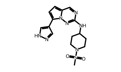 CS(=O)(=O)N1CCC(Nc2ncc3ccc(-c4cn[nH]c4)n3n2)CC1